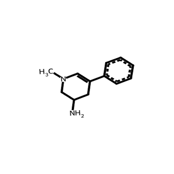 CN1C=C(c2ccccc2)CC(N)C1